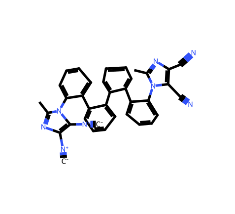 [C-]#[N+]c1nc(C)n(-c2ccccc2-c2ccccc2-c2ccccc2-c2ccccc2-n2c(C)nc(C#N)c2C#N)c1[N+]#[C-]